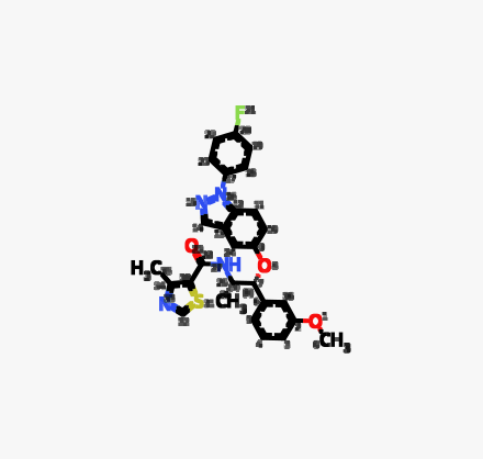 COc1cccc([C@@H](Oc2ccc3c(cnn3-c3ccc(F)cc3)c2)[C@H](C)NC(=O)c2scnc2C)c1